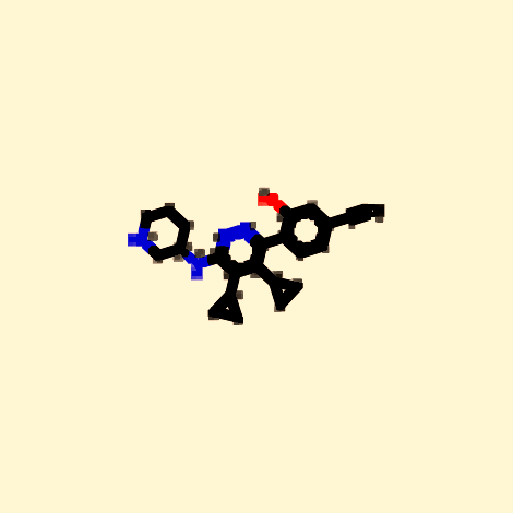 C#Cc1ccc(-c2nnc(N[C@@H]3CCCNC3)c(C3CC3)c2C2CC2)c(O)c1